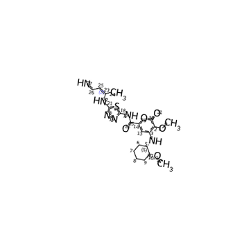 COc1c(N[C@H]2CCCC[C@H]2OC)cc(C(=O)Nc2nnc(N/C(C)=C\C=N)s2)oc1=O